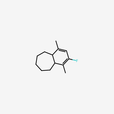 CC1=CC(F)=C(C)C2CCCCCC12